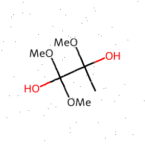 COC(C)(O)C(O)(OC)OC